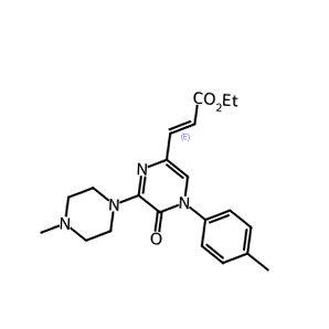 CCOC(=O)/C=C/c1cn(-c2ccc(C)cc2)c(=O)c(N2CCN(C)CC2)n1